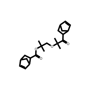 CC(C)(COC(C)(C)C(=O)C1CC2C=CC1C2)OC(=O)C1CC2C=CC1C2